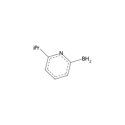 Bc1cccc(C(C)C)n1